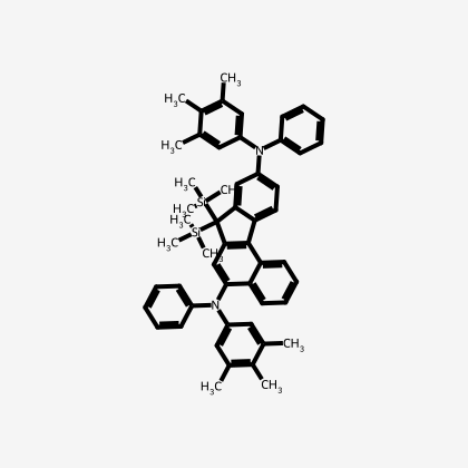 Cc1cc(N(c2ccccc2)c2ccc3c(c2)C([Si](C)(C)C)([Si](C)(C)C)c2cc(N(c4ccccc4)c4cc(C)c(C)c(C)c4)c4ccccc4c2-3)cc(C)c1C